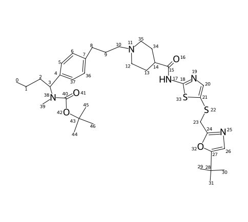 CCCC(c1ccc(CCCN2CCC(C(=O)Nc3ncc(SCc4ncc(C(C)(C)C)o4)s3)CC2)cc1)N(C)C(=O)OC(C)(C)C